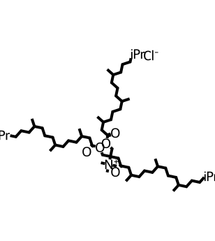 CC(C)CCCC(C)CCCC(C)CCCC(C)CC(=O)CC(COC(=O)CC(C)CCCC(C)CCCC(C)CCCC(C)C)(COC(=O)CC(C)CCCC(C)CCCC(C)CCCC(C)C)[N+](C)(C)C.[Cl-]